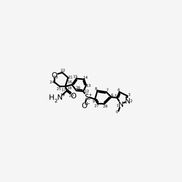 Cn1nccc1-c1ccc([S+]([O-])c2cccc(C3(C(N)=O)CCOCC3)c2)cc1